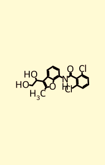 Cc1oc2c(NC(=O)c3c(Cl)cccc3Cl)cccc2c1C(O)CO